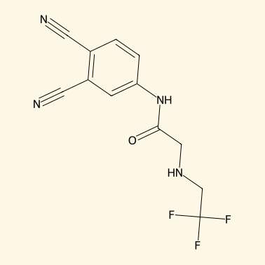 N#Cc1ccc(NC(=O)CNCC(F)(F)F)cc1C#N